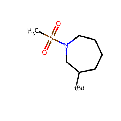 CC(C)(C)C1CCCCN(S(C)(=O)=O)C1